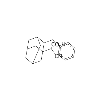 N#CC(C(=O)O)C12CC3CC(CC(C3)C1Cc1ccccc1)C2